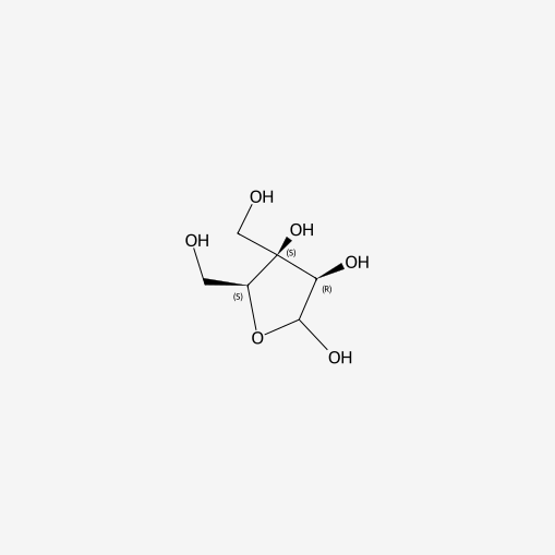 OC[C@@H]1OC(O)[C@H](O)[C@@]1(O)CO